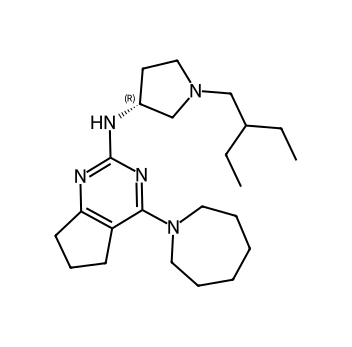 CCC(CC)CN1CC[C@@H](Nc2nc3c(c(N4CCCCCC4)n2)CCC3)C1